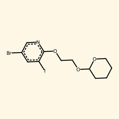 Brc1cnc(OCCOC2CCCCO2)c(I)c1